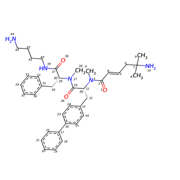 CN(C(=O)C=CCC(C)(C)N)[C@H](Cc1ccc(-c2ccccc2)cc1)C(=O)N(C)[C@H](Cc1ccccc1)C(=O)NCCCCN